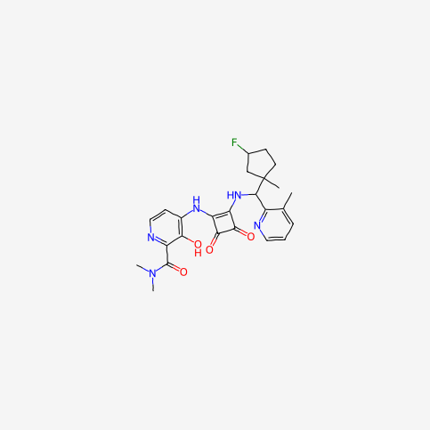 Cc1cccnc1C(Nc1c(Nc2ccnc(C(=O)N(C)C)c2O)c(=O)c1=O)C1(C)CCC(F)C1